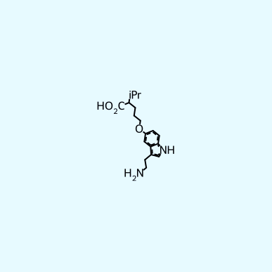 CC(C)C(CCCOc1ccc2[nH]cc(CCN)c2c1)C(=O)O